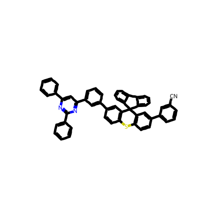 N#Cc1cccc(-c2ccc3c(c2)C2(c4cc(-c5cccc(-c6cc(-c7ccccc7)nc(-c7ccccc7)n6)c5)ccc4S3)c3ccccc3-c3ccccc32)c1